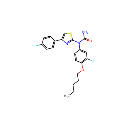 CCCCCOc1ccc(N(C(N)=O)c2nc(-c3ccc(F)cc3)cs2)cc1F